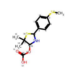 CSc1ccc(C2N[C@@H](OC(=O)O)C(C)(C)S2)cc1